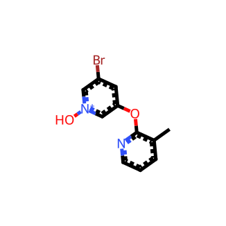 Cc1cccnc1Oc1cc(Br)c[n+](O)c1